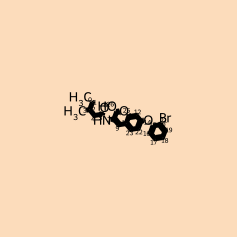 CCC(C)CC(=O)N/C(=C/c1ccc(Oc2ccccc2Br)cc1)C(=O)O